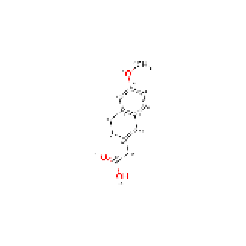 COc1ccc2c(c1)CCC(CC(=O)O)=C2